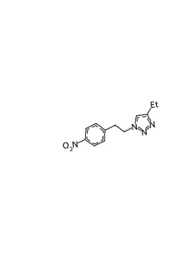 CCc1cn(CCc2ccc([N+](=O)[O-])cc2)nn1